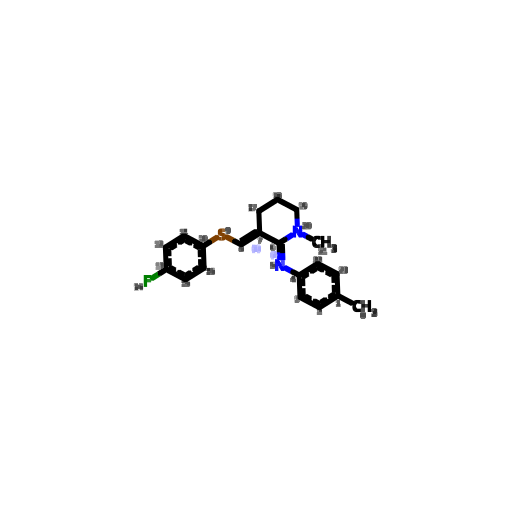 Cc1ccc(/N=C2/C(=C/Sc3ccc(F)cc3)CCCN2C)cc1